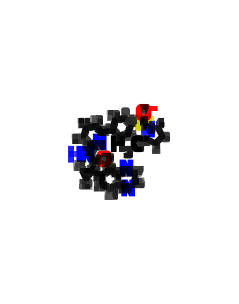 C[C@H]1CCCN1[S+]([O-])c1ccc(-c2cccc(NC(=O)C3(c4ccc5nccnc5c4)CC3)n2)cc1